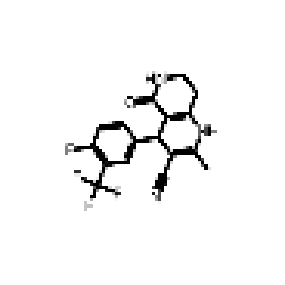 CC1=C(C#N)C(c2ccc(F)c(C(F)(F)F)c2)C2=C(CCNC2=O)N1